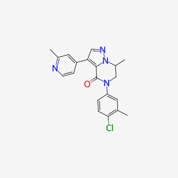 Cc1cc(-c2cnn3c2C(=O)N(c2ccc(Cl)c(C)c2)CC3C)ccn1